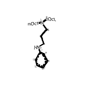 CCCCCCCCN(CCCCCCCC)CCCNc1cc[c]cc1